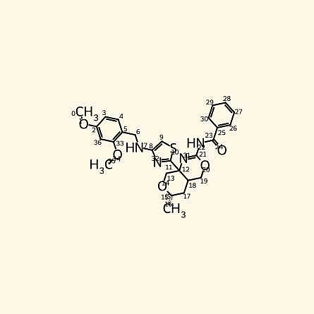 COc1ccc(CNc2csc(C34CO[C@@H](C)CC3COC(NC(=O)c3ccccc3)=N4)n2)c(OC)c1